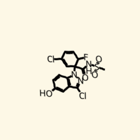 CS(=O)(=O)NC(=O)C1(n2nc(Cl)c3cc(O)ccc32)C=C(Cl)C=CC1F